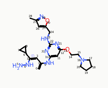 C=C(/C=C(\NN)C1CC1)Nc1cc(OCCN2CCCC2)nc(NCc2cc(C)no2)n1